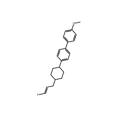 COc1ccc(-c2ccc(C3CCC(CC=CF)CC3)cc2)cc1